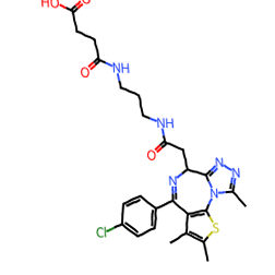 Cc1sc2c(c1C)C(c1ccc(Cl)cc1)=NC(CC(=O)NCCCNC(=O)CCC(=O)O)c1nnc(C)n1-2